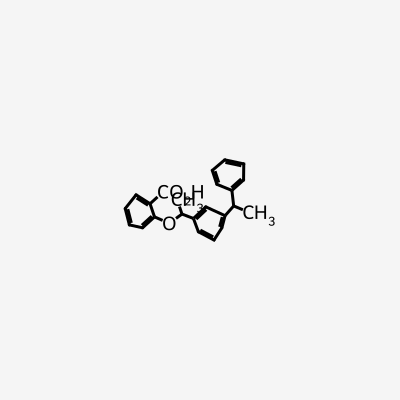 CC(Oc1ccccc1C(=O)O)c1cccc(C(C)c2ccccc2)c1